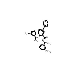 Cc1cccc(C(C)OC(=O)c2cc(-c3ccccc3)ccc2OC(C)c2cccc(C)c2)c1